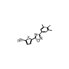 CCCc1ccc(-c2nc(-c3cc(C)c(C)c(C)c3)no2)s1